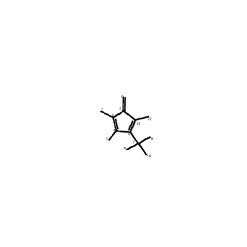 C=C1C(C)=C(C)C(C(C)(C)C)=C1C